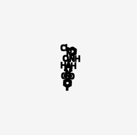 Cc1ccc(S(=O)(=O)N2C[C@@H]3C(C(=O)Nc4cccc(Cl)n4)[C@@H]3C2)cc1